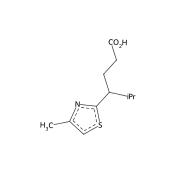 Cc1csc(C(CCC(=O)O)C(C)C)n1